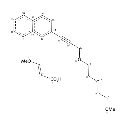 COC=CC(=O)O.COCCOCCOCC#Cc1ccc2ccccc2c1